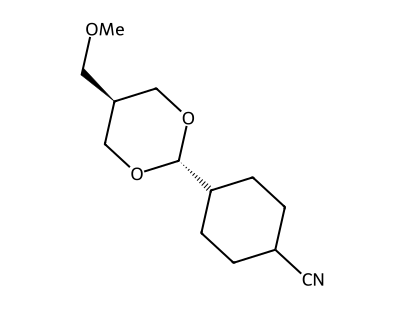 COC[C@H]1CO[C@H](C2CCC(C#N)CC2)OC1